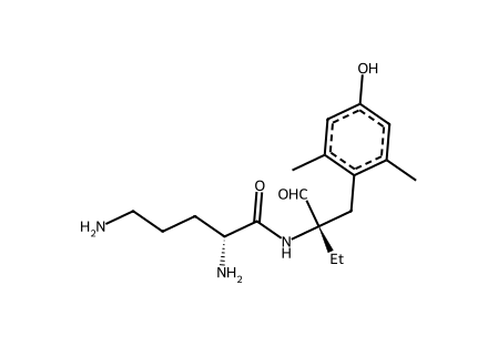 CC[C@@](C=O)(Cc1c(C)cc(O)cc1C)NC(=O)[C@H](N)CCCN